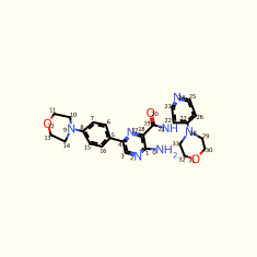 Nc1ncc(-c2ccc(N3CCOCC3)cc2)nc1C(=O)Nc1cnccc1N1CCOCC1